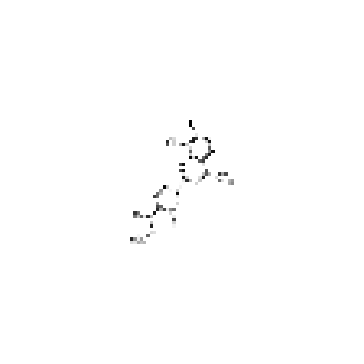 CC(C)(C)OC(=O)c1ccc(C(=O)C=C(c2ccc(F)c(Cl)c2)C(F)(F)F)cc1Cl